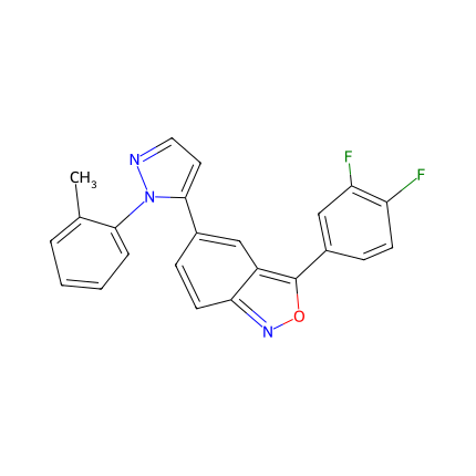 Cc1ccccc1-n1nccc1-c1ccc2noc(-c3ccc(F)c(F)c3)c2c1